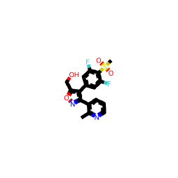 Cc1ncccc1-c1noc(CO)c1-c1cc(F)c(S(C)(=O)=O)c(F)c1